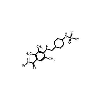 Cc1cc(C(=O)NC(C)C)c(C)c(C)c1NCC1CCC(NS(=O)(=O)C(C)C)CC1